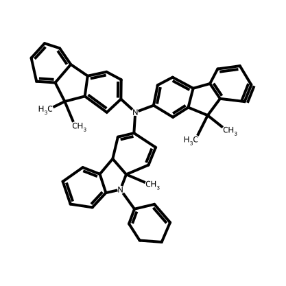 CC1(C)c2c#cccc2-c2ccc(N(C3=CC4c5ccccc5N(C5=CCCC=C5)C4(C)C=C3)c3ccc4c(c3)C(C)(C)c3ccccc3-4)cc21